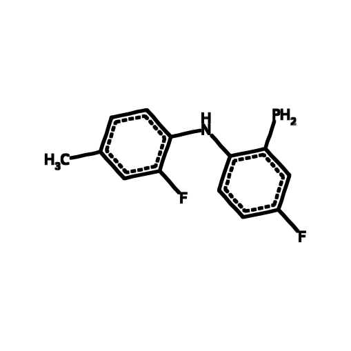 Cc1ccc(Nc2ccc(F)cc2P)c(F)c1